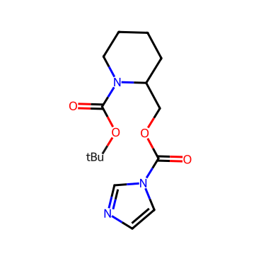 CC(C)(C)OC(=O)N1CCCCC1COC(=O)n1ccnc1